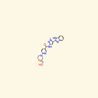 Cn1nc(NC(=O)c2ccc(N3CCO[C@H](CO)C3)nc2)cc1-c1nc2ccccc2[nH]1